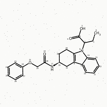 CCC(C(=O)O)n1c2c(c3ccccc31)C[C@@H](NC(=O)COc1ccccc1)CC2